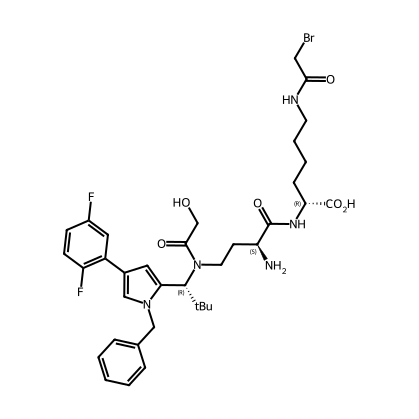 CC(C)(C)[C@H](c1cc(-c2cc(F)ccc2F)cn1Cc1ccccc1)N(CC[C@H](N)C(=O)N[C@H](CCCCNC(=O)CBr)C(=O)O)C(=O)CO